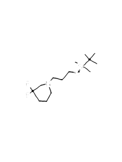 CC(C)(C)[Si](C)(C)OCCCN1CCCC(F)(F)C1